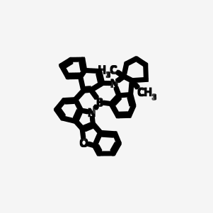 CC12CCCCC1(C)N1c3cc4ccccc4c4c3B(c3cccc2c31)n1c2c-4cccc2c2oc3ccccc3c21